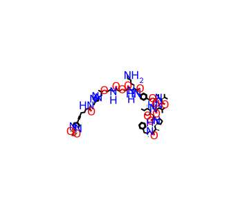 CC[C@H](C)[C@@H]([C@@H](CC(=O)N1CCC[C@H]1C[C@@H](C)C(=O)N[C@H](C)Cc1ccccc1)OC)N(C)C(=O)[C@@H](NC(=O)[C@H](C(C)C)N(C)C(=O)OCc1ccc(NC(=O)[C@H](CCCCN)NC(=O)COCC(=O)NCCOC(C)Cn2cc(CNC(=O)CCCC#Cc3cnc(S(C)(=O)=O)nc3)nn2)cc1)C(C)C